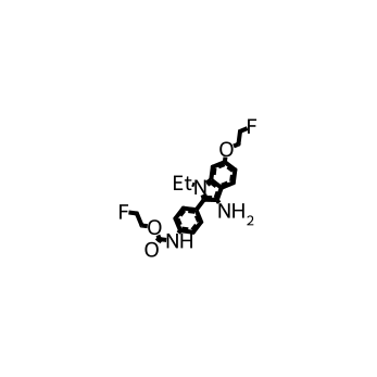 CCn1c(-c2ccc(NC(=O)OCCF)cc2)c(N)c2ccc(OCCF)cc21